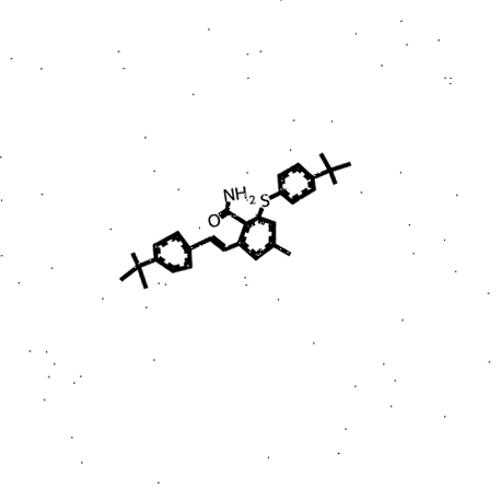 Cc1cc(C=Cc2ccc(C(C)(C)C)cc2)c(C(N)=O)c(Sc2ccc(C(C)(C)C)cc2)c1